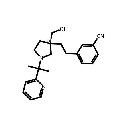 CC(C)(c1ccccn1)N1CC[C@](CO)(CCc2cccc(C#N)c2)C1